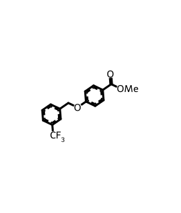 COC(=O)c1ccc(OCc2cccc(C(F)(F)F)c2)cc1